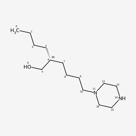 CCCC[C@@H](CO)CCCCN1CCNCC1